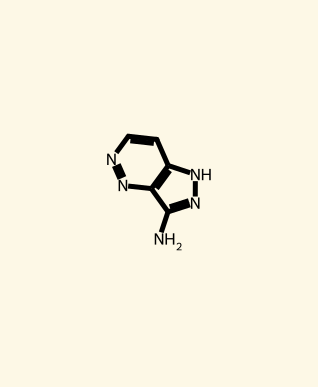 Nc1n[nH]c2ccnnc12